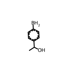 Bc1ccc(C(C)O)cc1